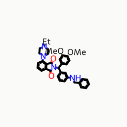 CCN1CCN(c2cccc3c2C(=O)N(C(c2cccc(NCc4ccccc4)c2)c2ccc(OC)c(OC)c2)C3=O)CC1